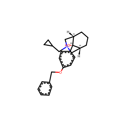 O[C@@]1(c2ccc(OCc3ccccc3)cc2)[C@@H]2CCC[C@H]1CN(CC1CC1)C2